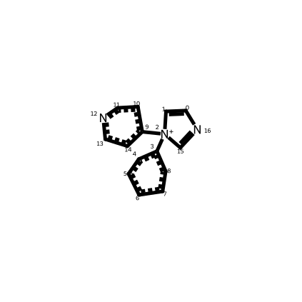 C1=C[N+](c2ccccc2)(c2ccncc2)C=N1